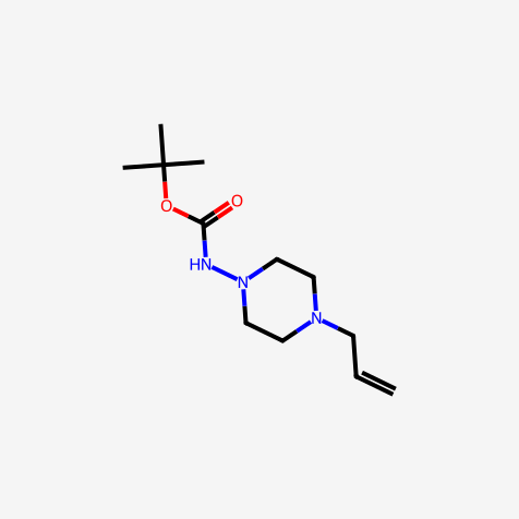 C=CCN1CCN(NC(=O)OC(C)(C)C)CC1